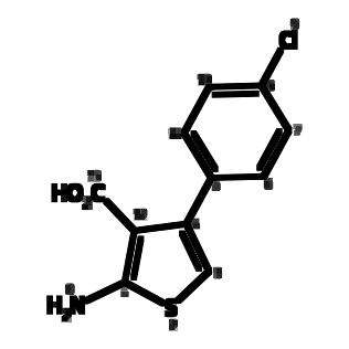 Nc1scc(-c2ccc(Cl)cc2)c1C(=O)O